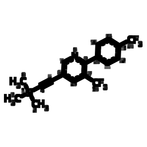 C[Si](C)(C)C#Cc1cnc(-c2ccc(C(F)(F)F)cc2)c(C(F)(F)F)c1